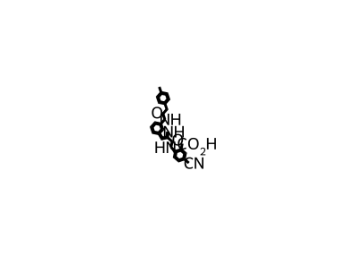 Cc1ccc(CC(=O)Nc2cccc3cc(C(=O)Nc4ccc(C#N)cc4C(=O)O)[nH]c23)cc1